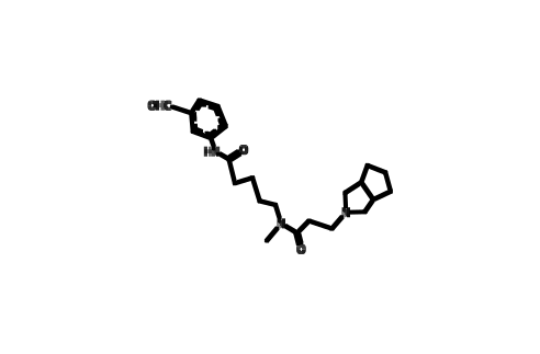 CN(CCCCC(=O)Nc1cccc(C=O)c1)C(=O)CCN1CC2CCCC2C1